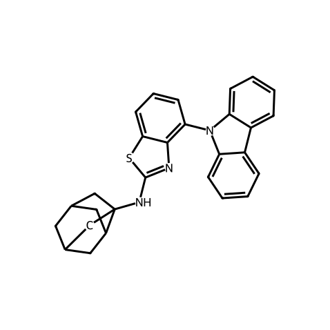 c1cc(-n2c3ccccc3c3ccccc32)c2nc(NC34CC5CC(CC3C5)C4)sc2c1